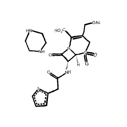 C1CNCCN1.CC(=O)OCC1=C(C(=O)O)N2C(=O)[C@@H](NC(=O)Cc3cccs3)[C@@H]2S(=O)(=O)C1